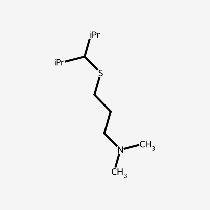 CC(C)C(SCCCN(C)C)C(C)C